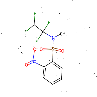 CN(C(F)(F)C(F)F)S(=O)(=O)c1ccccc1[N+](=O)[O-]